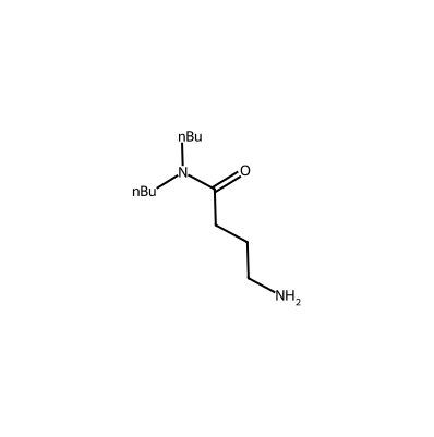 CCCCN(CCCC)C(=O)CCCN